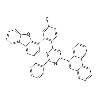 Clc1ccc(-c2nc(-c3ccccc3)nc(-c3cc4ccccc4c4ccccc34)n2)c(-c2cccc3c2oc2ccccc23)c1